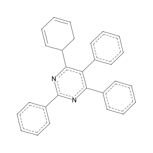 C1=CCC(c2nc(-c3ccccc3)nc(-c3ccccc3)c2-c2ccccc2)C=C1